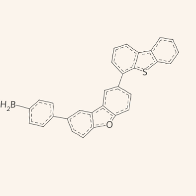 Bc1ccc(-c2ccc3oc4ccc(-c5cccc6c5sc5ccccc56)cc4c3c2)cc1